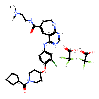 CN(C)CCNC(=O)C1=Cc2c(ncnc2Nc2ccc(OC3CCN(C(=O)C4CCCC4)CC3)c(Cl)c2)NCC1.O=C(O)C(F)(F)F.O=C(O)C(F)(F)F